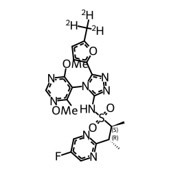 [2H]C([2H])([2H])c1ccc(-c2nnc(NS(=O)(=O)[C@@H](C)[C@H](C)c3ncc(F)cn3)n2-c2c(OC)ncnc2OC)o1